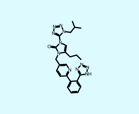 CCCc1cn(-c2nnnn2CC(C)C)c(=O)n1Cc1ccc(-c2ccccc2-c2nnn[nH]2)nc1